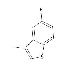 Cc1[c]sc2ccc(F)cc12